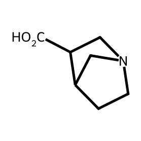 O=C(O)C1CN2CCC1C2